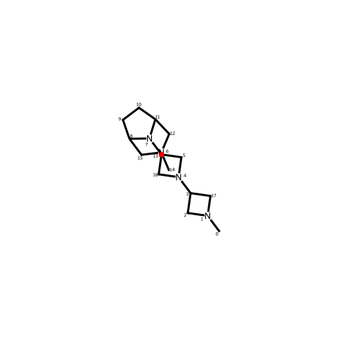 CN1CC(N2CC(N3C4CCC3CN(C)C4)C2)C1